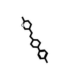 Cc1ccc(C2CCC(CCC3CCC(C)OC3)CC2)cc1